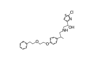 CC(CNCC(O)c1csc(Cl)n1)c1ccc(OCCOCCc2ccccc2)cc1